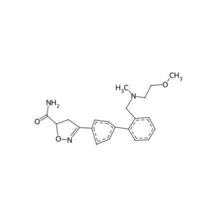 COCCN(C)Cc1ccccc1-c1ccc(C2=NOC(C(N)=O)C2)cc1